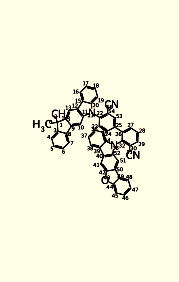 CC1(C)c2ccccc2-c2cc3c(cc21)c1ccccc1n3-c1ccc(-c2cccc(C#N)c2-n2c3ccccc3c3cc4oc5ccccc5c4cc32)cc1C#N